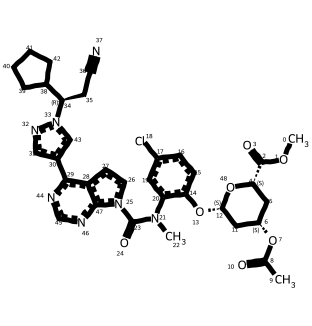 COC(=O)[C@@H]1C[C@H](OC(C)=O)C[C@H](Oc2ccc(Cl)cc2N(C)C(=O)n2ccc3c(-c4cnn([C@H](CC#N)C5CCCC5)c4)ncnc32)O1